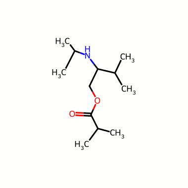 CC(C)NC(COC(=O)C(C)C)C(C)C